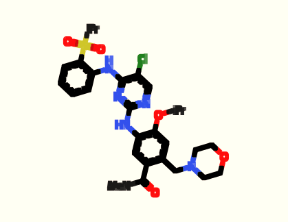 CNC(=O)c1cc(Nc2ncc(Cl)c(Nc3ccccc3S(=O)(=O)C(C)C)n2)c(OC(C)C)cc1CN1CCOCC1